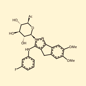 COc1cc2c(cc1OC)-c1nn([C@@H]3O[C@H](C(C)=O)[C@@H](O)[C@H](O)[C@H]3O)c(Nc3cccc(F)c3)c1C2